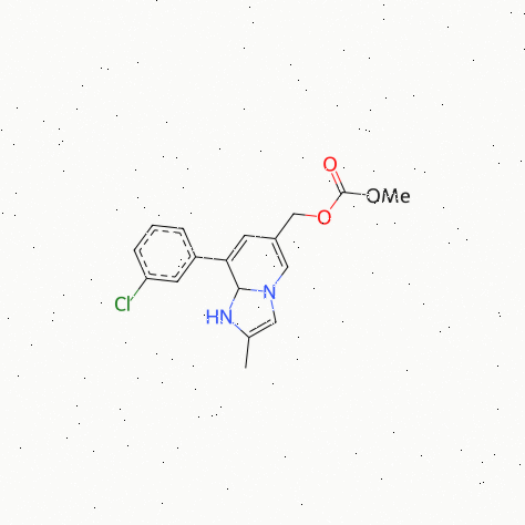 COC(=O)OCC1=CN2C=C(C)NC2C(c2cccc(Cl)c2)=C1